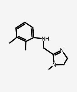 Cc1cccc(NCC2=NCCN2C)c1C